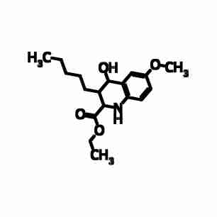 CCCCCC1C(C(=O)OCC)Nc2ccc(OC)cc2C1O